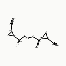 N#CC1CN1C(=O)COCC(=O)N1CC1C#N